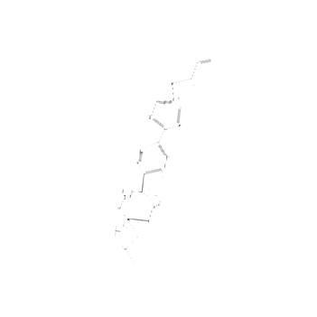 C=CCCc1ccc(-c2ccc(C3OCC(F)(CCC)CO3)cc2)cc1